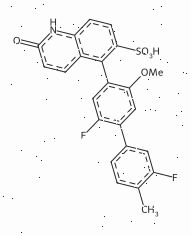 COc1cc(-c2ccc(C)c(F)c2)c(F)cc1-c1c(S(=O)(=O)O)ccc2[nH]c(=O)ccc12